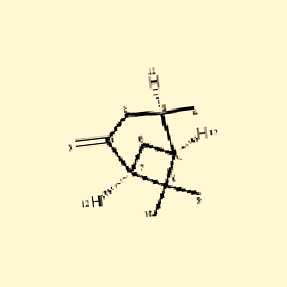 C=C1C[C@@H](C)[C@@H]2C[C@H]1C2(C)C